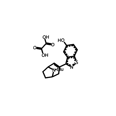 CC(C)(C)N1C2C=C(c3nsc4ccc(O)cc34)CC1CC2.O=C(O)C(=O)O